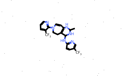 CC1NC2=C(CCN(c3ncccc3C(F)(F)F)C=C2)C(Nc2ccc(C(F)(F)F)cn2)N1